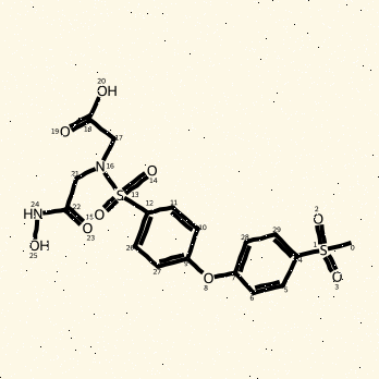 CS(=O)(=O)c1ccc(Oc2ccc(S(=O)(=O)N(CC(=O)O)CC(=O)NO)cc2)cc1